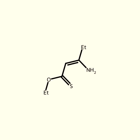 CCOC(=S)C=C(N)CC